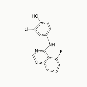 Oc1ccc(Nc2ncnc3cccc(F)c23)cc1Cl